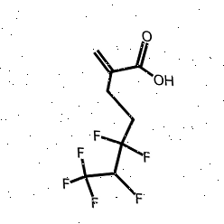 C=C(CCC(F)(F)C(F)C(F)(F)F)C(=O)O